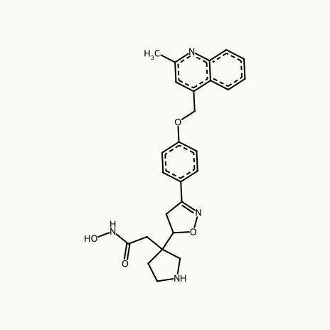 Cc1cc(COc2ccc(C3=NOC(C4(CC(=O)NO)CCNC4)C3)cc2)c2ccccc2n1